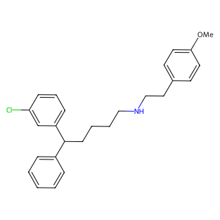 COc1ccc(CCNCCCCC(c2ccccc2)c2cccc(Cl)c2)cc1